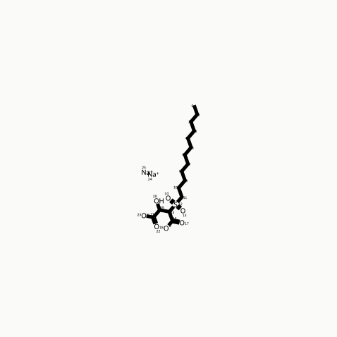 CCCCCCCCCCCCS(=O)(=O)C(C(=O)[O-])C(O)C(=O)[O-].[Na+].[Na+]